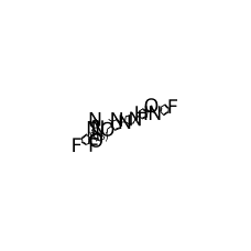 Cc1nc(N2CCN(c3ccc(C(=O)Nc4ccc(F)cc4)cc3)CC2)ccc1OC[C@@H]1CO[C@@](Cn2cncn2)(c2ccc(F)cc2F)C1